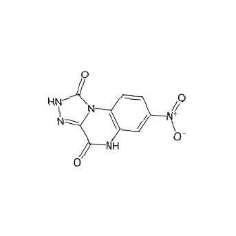 O=c1[nH]c2cc([N+](=O)[O-])ccc2n2c(=O)[nH]nc12